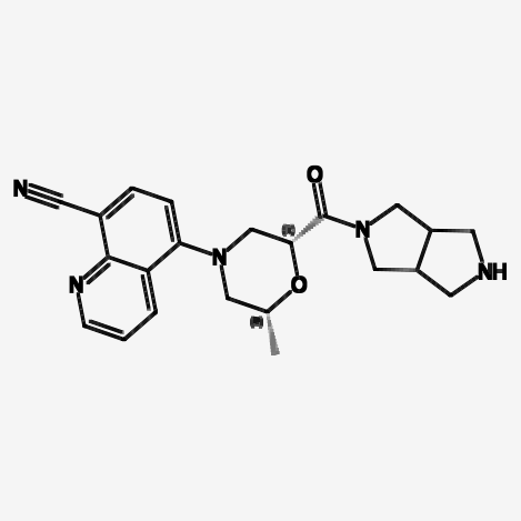 C[C@@H]1CN(c2ccc(C#N)c3ncccc23)C[C@H](C(=O)N2CC3CNCC3C2)O1